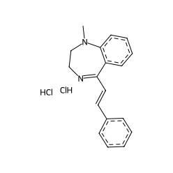 CN1CCN=C(C=Cc2ccccc2)c2ccccc21.Cl.Cl